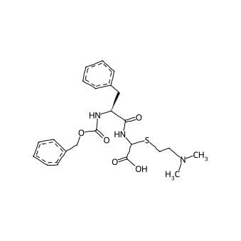 CN(C)CCSC(NC(=O)[C@H](Cc1ccccc1)NC(=O)OCc1ccccc1)C(=O)O